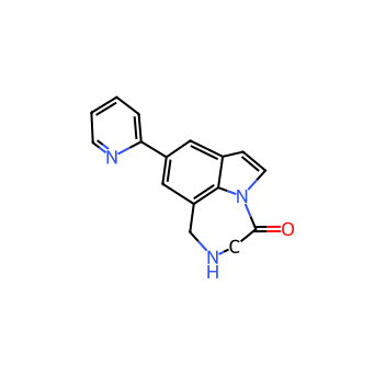 O=C1CNCc2cc(-c3ccccn3)cc3ccn1c23